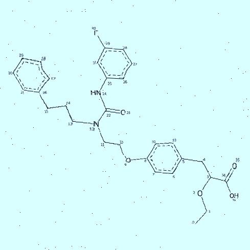 CCOC(Cc1ccc(OCCN(CCCc2ccccc2)C(=O)Nc2cccc(F)c2)cc1)C(=O)O